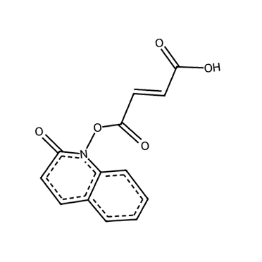 O=C(O)/C=C/C(=O)On1c(=O)ccc2ccccc21